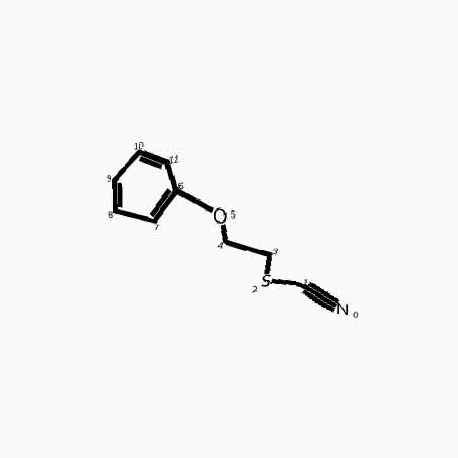 N#CSCCOc1ccccc1